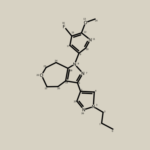 CCCn1cc(-c2nn(-c3cnc(OC)c(F)c3)c3c2CCOCC3)cn1